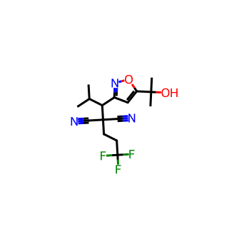 CC(C)C(c1cc(C(C)(C)O)on1)C(C#N)(C#N)CCC(F)(F)F